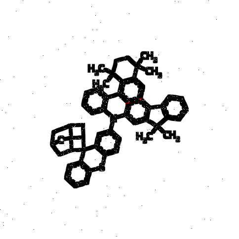 CC1(C)CCC(C)(C)c2c(-c3ccccc3N(c3ccc4c(c3)C(C)(C)c3ccccc3-4)c3ccc4c(c3)C3(c5ccccc5S4)C4CC5CC6CC3C64C5)cccc21